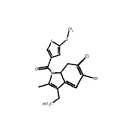 CC1=C(CC(=O)O)C2=CC(O)=C(Cl)CC2N1C(=O)c1csc(SC(F)(F)F)c1